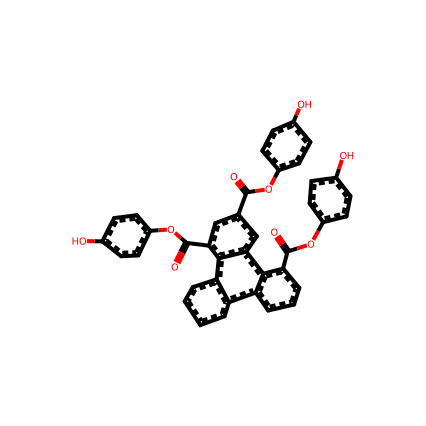 O=C(Oc1ccc(O)cc1)c1cc(C(=O)Oc2ccc(O)cc2)c2c3ccccc3c3cccc(C(=O)Oc4ccc(O)cc4)c3c2c1